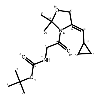 CC(C)(C)OC(=O)NCC(=O)N1C(=CC2CC2)COC1(C)C